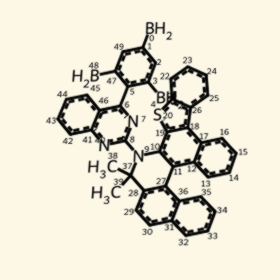 Bc1cc(B)c(-c2nc(N3c4c(c5ccccc5c5c4sc4ccccc45)-c4c(ccc5ccccc45)C3(C)C)nc3ccccc23)c(B)c1